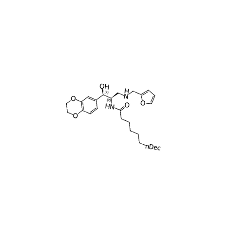 CCCCCCCCCCCCCCCC(=O)N[C@H](CNCc1ccco1)[C@H](O)c1ccc2c(c1)OCCO2